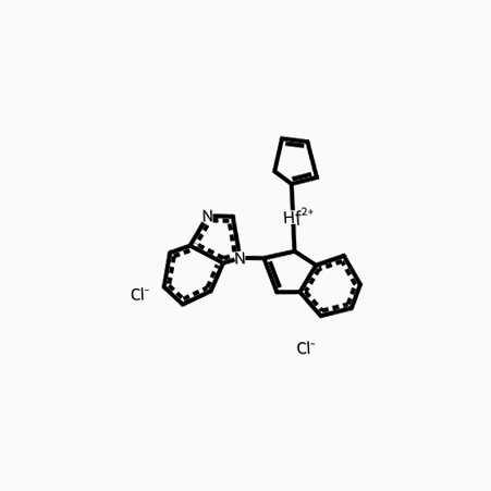 C1=CC[C]([Hf+2][CH]2C(n3cnc4ccccc43)=Cc3ccccc32)=C1.[Cl-].[Cl-]